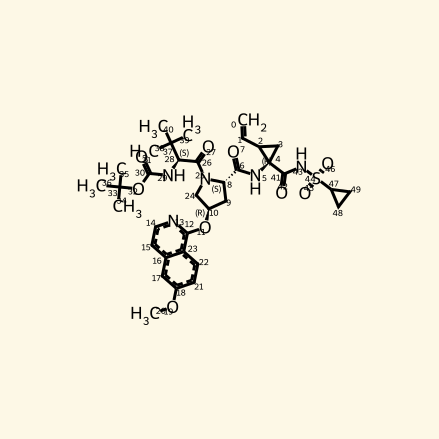 C=CC1C[C@]1(NC(=O)[C@@H]1C[C@@H](Oc2nccc3cc(OC)ccc23)CN1C(=O)[C@@H](NC(=O)OC(C)(C)C)C(C)(C)C)C(=O)NS(=O)(=O)C1CC1